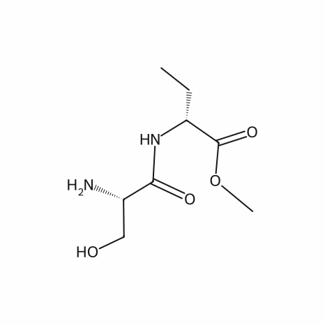 CC[C@@H](NC(=O)[C@@H](N)CO)C(=O)OC